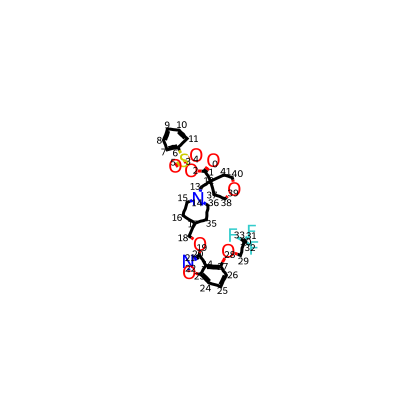 O=C(OS(=O)(=O)c1ccccc1)C1(CN2CCC(COc3noc4cccc(OCC(F)(F)F)c34)CC2)CCOCC1